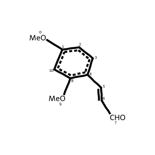 COc1ccc(C=CC=O)c(OC)c1